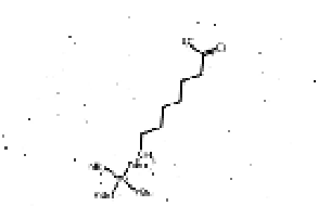 CCCCCCCC(=O)[O-].CCCC[P+](CCCC)(CCCC)CCCC